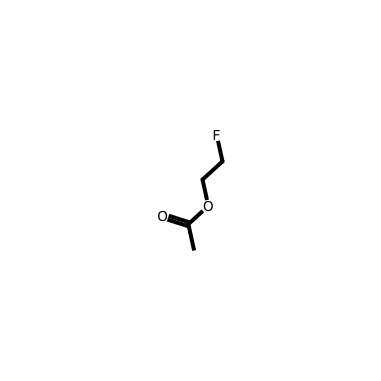 CC(=O)OCCF